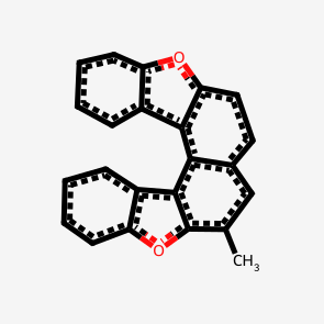 Cc1cc2ccc3oc4ccccc4c3c2c2c1oc1ccccc12